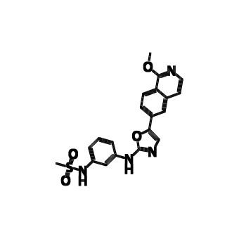 COc1nccc2cc(-c3cnc(Nc4cccc(NS(C)(=O)=O)c4)o3)ccc12